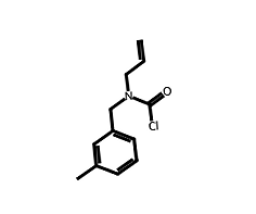 C=CCN(Cc1cccc(C)c1)C(=O)Cl